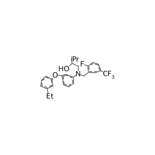 CCc1cccc(Oc2cccc(N(Cc3cc(C(F)(F)F)ccc3F)CC(O)C(C)C)c2)c1